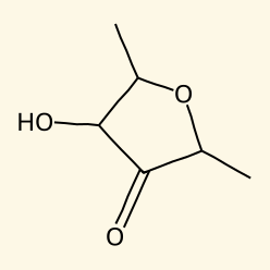 CC1OC(C)C(O)C1=O